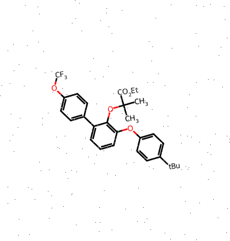 CCOC(=O)C(C)(C)Oc1c(Oc2ccc(C(C)(C)C)cc2)cccc1-c1ccc(OC(F)(F)F)cc1